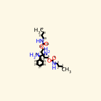 CCCCNC(=O)OCCC(N)(CCOC(=O)NCCCC)C(N)c1ccccc1